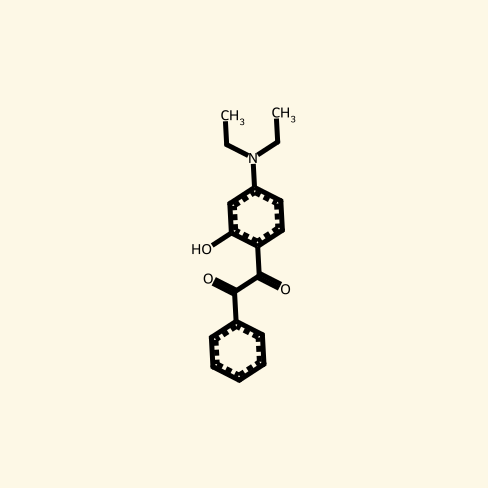 CCN(CC)c1ccc(C(=O)C(=O)c2ccccc2)c(O)c1